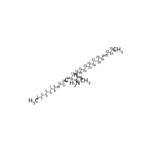 CCCCCCCCCCCCCCCCCCN(CCCCCCCCCCCCCCCCCC)C(CC)CN